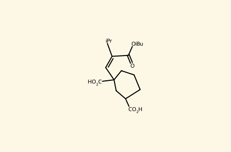 CC(C)COC(=O)C(=CC1(C(=O)O)CCCC(C(=O)O)C1)C(C)C